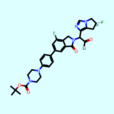 [Li][C](=O)C(c1ncn2c1C[C@@H](F)C2)N1Cc2c(F)cc(-c3ccc(N4CCN(C(=O)OC(C)(C)C)CC4)cc3)cc2C1=O